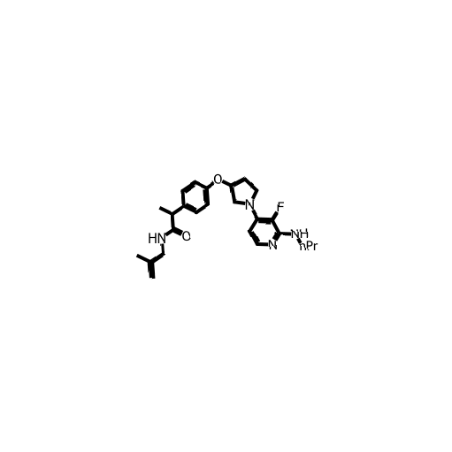 C=C(C)CNC(=O)C(C)c1ccc(OC2CCN(c3ccnc(NCCC)c3F)C2)cc1